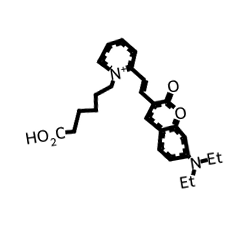 CCN(CC)c1ccc2cc(/C=C/c3cccc[n+]3CCCCCC(=O)O)c(=O)oc2c1